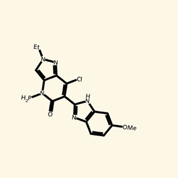 CCn1cc2c(n1)c(Cl)c(-c1nc3ccc(OC)cc3[nH]1)c(=O)n2P